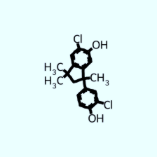 CC1(C)CC(C)(c2ccc(O)c(Cl)c2)c2cc(O)c(Cl)cc21